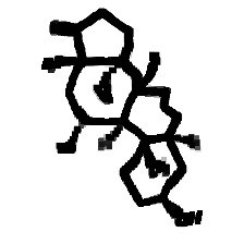 C[C@]12CC[C@H](O)C[C@@H]1CC[C@@H]1[C@@H]2[C@H](O)C[C@]2(C)C(=O)CC[C@@H]12